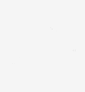 O=[N+]([O-])c1cc(O)ccc1Sc1ccc(O)cc1